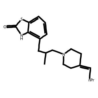 CCCC=C1CCN(CC(C)Cc2cccc3sc(=O)[nH]c23)CC1